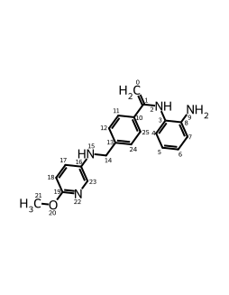 C=C(Nc1ccccc1N)c1ccc(CNc2ccc(OC)nc2)cc1